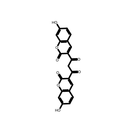 O=C(CC(=O)c1cc2ccc(O)cc2oc1=O)c1cc2ccc(O)cc2oc1=O